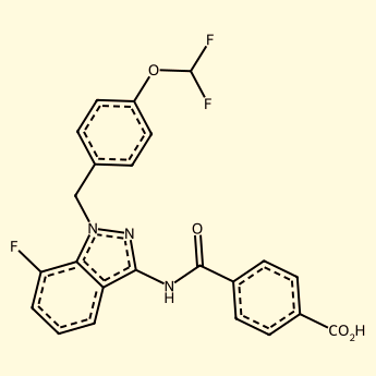 O=C(O)c1ccc(C(=O)Nc2nn(Cc3ccc(OC(F)F)cc3)c3c(F)cccc23)cc1